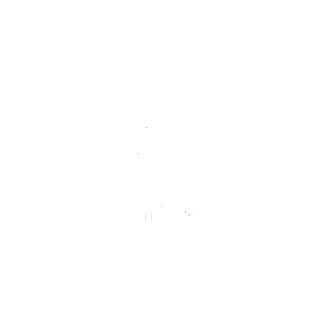 CC(=O)c1ccc(SN(C)C)cc1